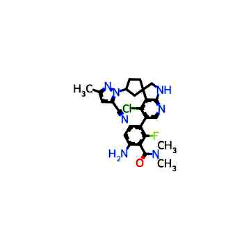 Cc1cc(C#N)n(C2CCC3(CNc4ncc(-c5ccc(N)c(C(=O)N(C)C)c5F)c(Cl)c43)C2)n1